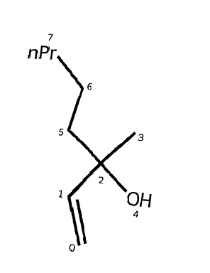 C=CC(C)(O)CCCCC